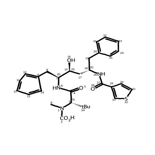 CN(C(=O)O)[C@H](C(=O)N[C@@H](Cc1ccccc1)[C@@H](O)C[C@H](Cc1ccccc1)NC(=O)c1ccsc1)C(C)(C)C